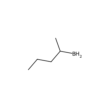 BC(C)CCC